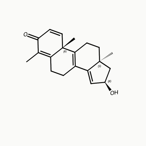 CC1=C2CCC3=C(CC[C@@]4(C)C[C@@H](O)C=C34)[C@@]2(C)C=CC1=O